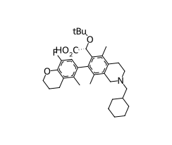 Cc1c(-c2c(C)c3c(c(C)c2[C@@H](OC(C)(C)C)C(=O)O)CCN(CC2CCCCC2)C3)cc(F)c2c1CCCO2